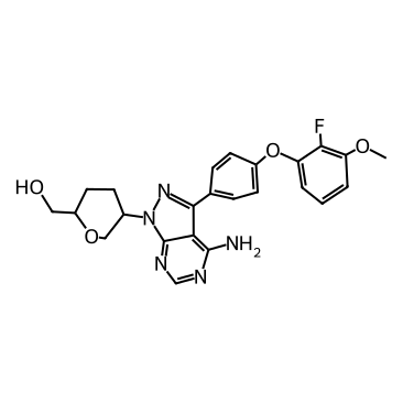 COc1cccc(Oc2ccc(-c3nn(C4CCC(CO)OC4)c4ncnc(N)c34)cc2)c1F